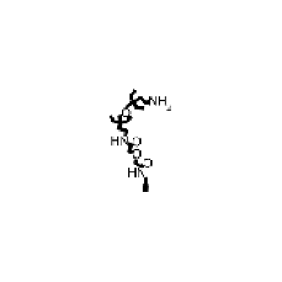 C#CCNC(=O)COCC(=O)NCCC(CC)(CC)COCC(CC)(CC)CCN